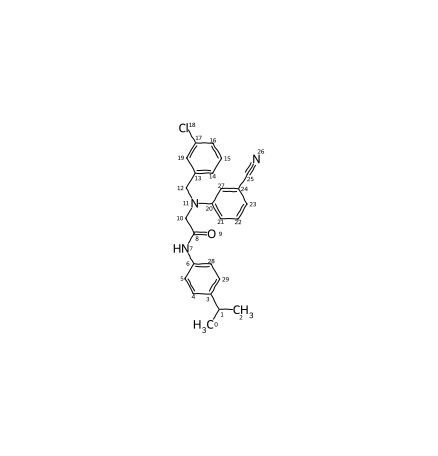 CC(C)c1ccc(NC(=O)CN(Cc2cccc(Cl)c2)c2cccc(C#N)c2)cc1